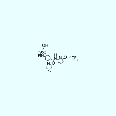 O=C(Nc1cccc(OCCC(F)(F)F)n1)c1ccc(NS(=O)(=O)CCO)cc1N1CCC2(CC1)CC2